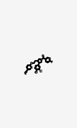 N#Cc1ccc(OCCC2CN(C(=O)c3ccc(F)nc3)CC2c2ccc(Cl)c(Cl)c2)nc1